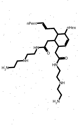 CCCCC/C=C/CC1C(CCCCCC)C=CC(CC(=O)NCCNCCN)C1CC(=O)NCCNCCN